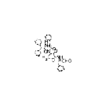 CC(NC(=O)[C@H](Cc1ccccc1)NC(=O)C(c1ccccc1)c1ccccc1)C(=O)C(=O)N[C@H](C=O)Cc1ccccc1